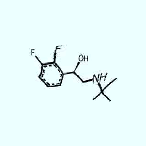 CC(C)(C)NC[C@H](O)c1cccc(F)c1F